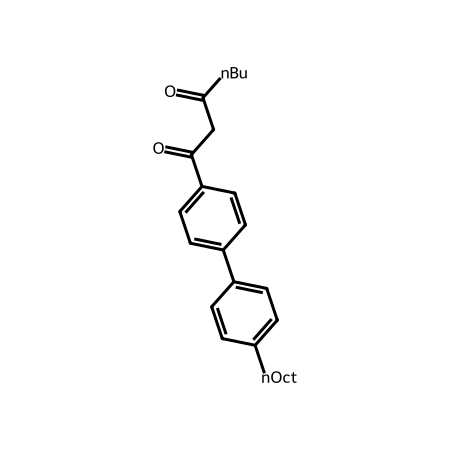 CCCCCCCCc1ccc(-c2ccc(C(=O)CC(=O)CCCC)cc2)cc1